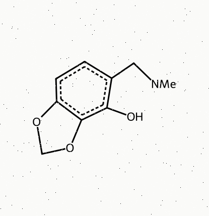 CNCc1ccc2c(c1O)OCO2